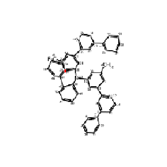 Cc1cc(-c2cc(-c3ccccc3)ccn2)cc(N(c2cc(-c3cc(-c4ccccc4)ccn3)cc(C(F)(F)F)c2)c2ccccc2-c2ccccc2)c1